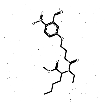 CCCCC(C(=O)OC)N(CC)C(=O)CCCOc1ccc([N+](=O)[O-])c(C=O)c1